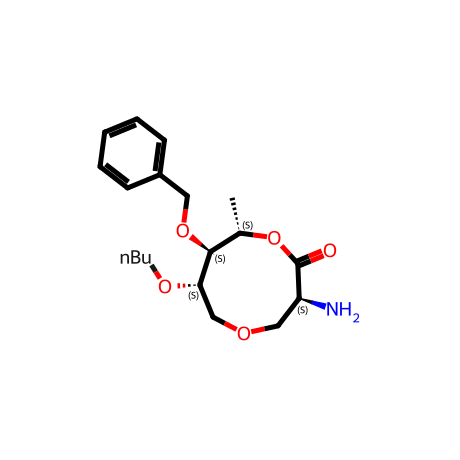 CCCCO[C@H]1COC[C@H](N)C(=O)O[C@@H](C)[C@@H]1OCc1ccccc1